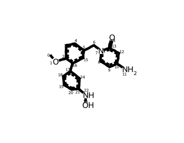 COc1ccc(Cn2ccc(N)cc2=O)cc1-c1cccc(NO)c1